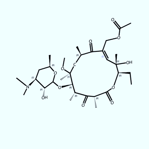 CC[C@H]1OC(=O)[C@H](C)C(=O)[C@H](C)[C@@H](OC2O[C@H](C)C[C@H](N(C)C)[C@H]2O)[C@@](C)(OC)C[C@@H](C)C(=O)/C(COC(C)=O)=C/[C@]1(C)O